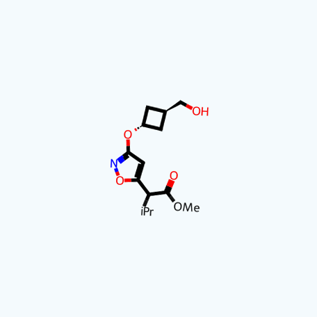 COC(=O)C(c1cc(O[C@H]2C[C@H](CO)C2)no1)C(C)C